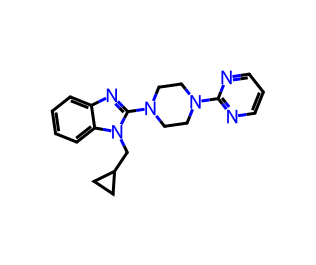 c1cnc(N2CCN(c3nc4ccccc4n3CC3CC3)CC2)nc1